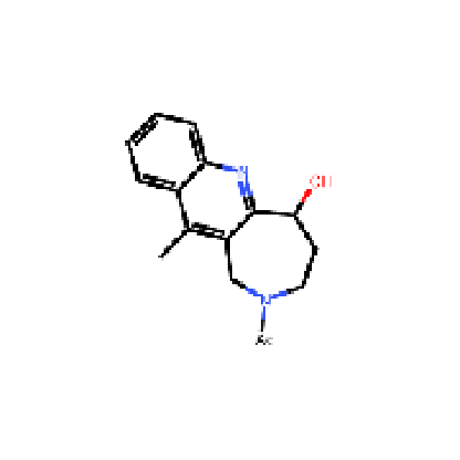 CC(=O)N1CCC(O)c2nc3ccccc3c(C)c2C1